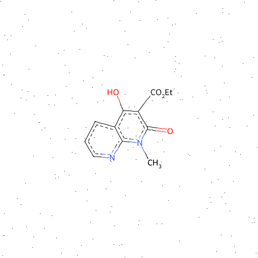 CCOC(=O)c1c(O)c2cccnc2n(C)c1=O